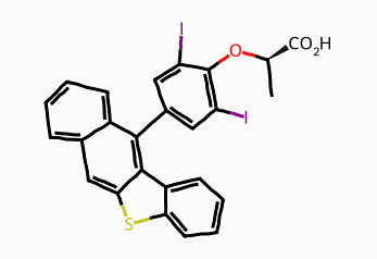 C[C@@H](Oc1c(I)cc(-c2c3ccccc3cc3sc4ccccc4c23)cc1I)C(=O)O